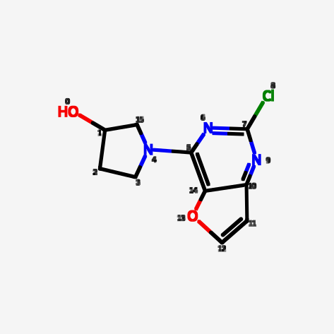 OC1CCN(c2nc(Cl)nc3ccoc23)C1